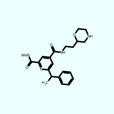 CNC(=O)c1cc(C(=O)NCCC2CNCCO2)cc(C(C)c2ccccc2)n1